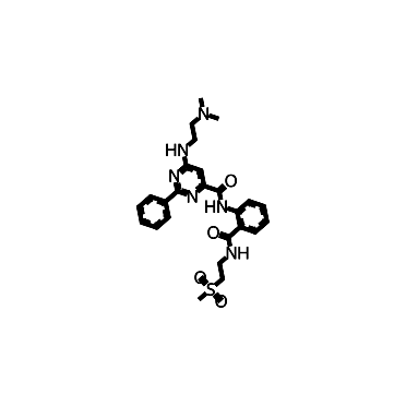 CN(C)CCNc1cc(C(=O)Nc2ccccc2C(=O)NCCS(C)(=O)=O)nc(-c2ccccc2)n1